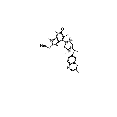 Cc1cnc2ccc(C(C)N3C[C@H](C)N(c4c(F)c(=O)n(C)c5c4nc(CC#N)n5C)C[C@H]3C)cc2n1